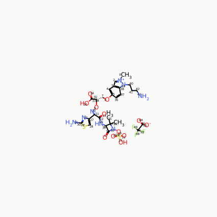 C[n+]1cc2cc(OC[C@H](O/N=C(\C(=O)N[C@@H]3C(=O)N(OS(=O)(=O)O)C3(C)C)c3csc(N)n3)C(=O)O)ccc2n1CCCN.O=C([O-])C(F)(F)F